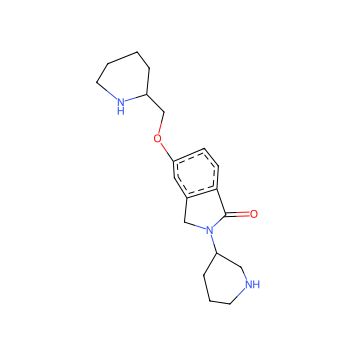 O=C1c2ccc(OCC3CCCCN3)cc2CN1C1CCCNC1